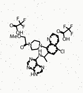 COCC(=O)N1CCN(c2c(C(C)Nc3ncnc4[nH]cnc34)cc(Cl)c3cccnc23)CC1.O=C(O)C(F)(F)F.O=C(O)C(F)(F)F